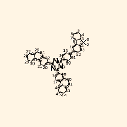 CC1(C)c2ccccc2-c2cc(-c3ccc(-c4nc(-c5ccc6c(ccc7ccccc76)c5)nc(-c5ccc6c(ccc7ccccc76)c5)n4)cc3)ccc21